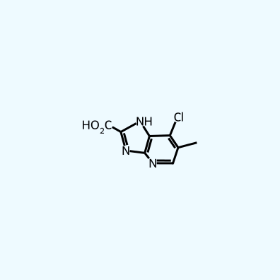 Cc1cnc2nc(C(=O)O)[nH]c2c1Cl